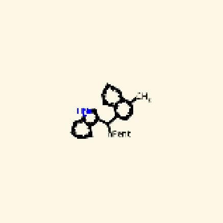 CCCCCC(c1c[nH]c2ccccc12)c1ccc(C)c2ccccc12